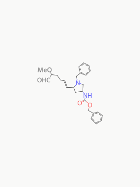 COC(C=O)CCC=C[C@@H]1C[C@@H](NC(=O)OCc2ccccc2)CN1Cc1ccccc1